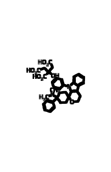 CN(C)C1(c2ccccc2)CCC2(CC1)OCCc1c2n(-c2ccccc2)c2ccccc12.O=C(O)CC(O)(CC(=O)O)C(=O)O